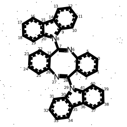 c1ccc2c(c1)/N=C(/n1c3ccccc3c3ccccc31)c1ccccc1/N=C\2n1c2ccccc2c2ccccc21